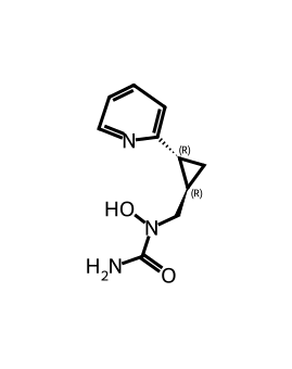 NC(=O)N(O)C[C@@H]1C[C@H]1c1ccccn1